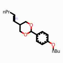 CCC/C=C/C1COC(c2ccc(OCCCC)cc2)OC1